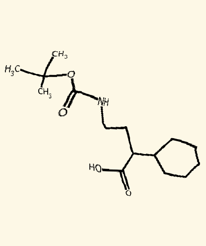 CC(C)(C)OC(=O)NCCC(C(=O)O)C1CCCCC1